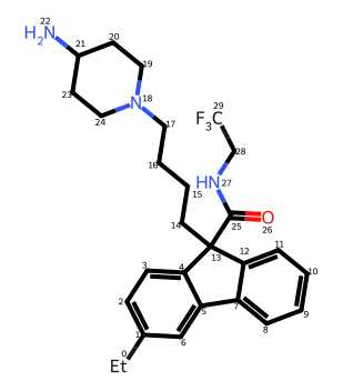 CCc1ccc2c(c1)-c1ccccc1C2(CCCCN1CCC(N)CC1)C(=O)NCC(F)(F)F